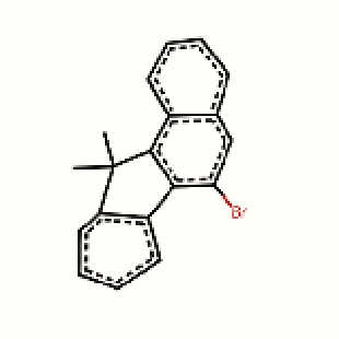 CC1(C)c2ccccc2-c2c(Br)cc3ccccc3c21